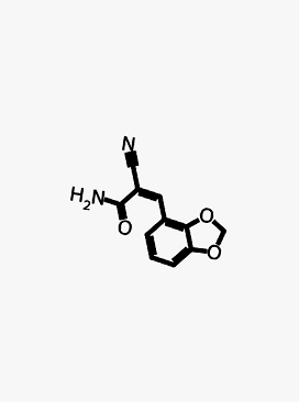 N#CC(=Cc1cccc2c1OCO2)C(N)=O